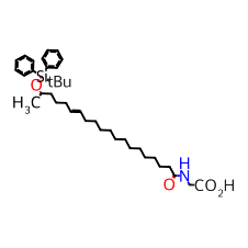 CC(CCCC=CCCCCCCCCCCCCC(=O)NCC(=O)O)O[Si](c1ccccc1)(c1ccccc1)C(C)(C)C